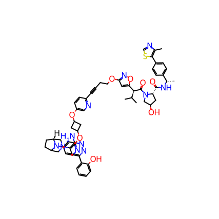 Cc1ncsc1-c1ccc([C@H](C)NC(=O)[C@@H]2C[C@@H](O)CN2C(=O)[C@H](c2cc(OCCC#Cc3ccc(OC4CC(Oc5cc(N6C7CC[C@@H]6CN(c6cc(-c8ccccc8O)nnc6N)C7)ccn5)C4)cn3)no2)C(C)C)cc1